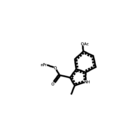 CCCOC(=O)c1c(C)[nH]c2ccc(OC(C)=O)cc12